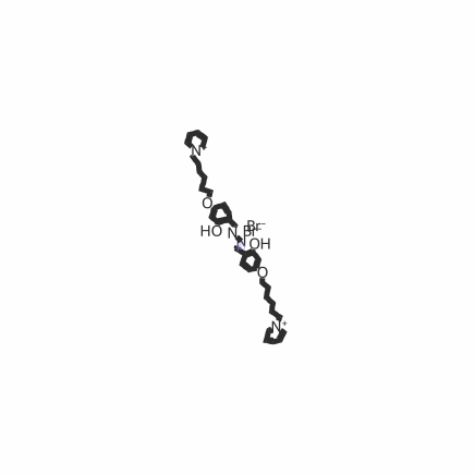 Oc1cc(OCCCCCC[n+]2ccccc2)ccc1C=N/N=C/c1ccc(OCCCCCC[n+]2ccccc2)cc1O.[Br-].[Br-]